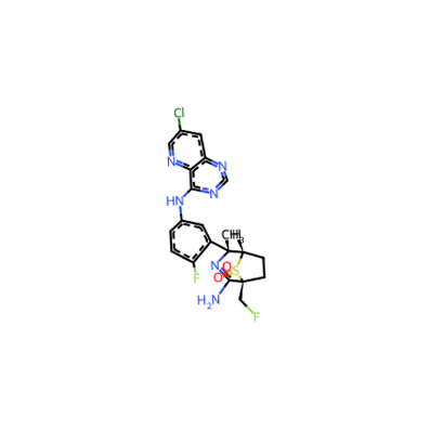 C[C@]1(c2cc(Nc3ncnc4cc(Cl)cnc34)ccc2F)N=C(N)[C@@]2(CF)CC[C@@H]1S2(=O)=O